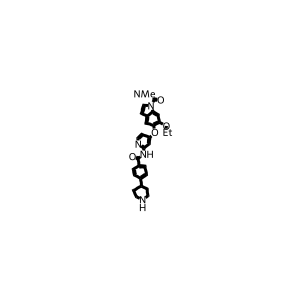 CCOc1cc2c(ccn2C(=O)NC)cc1Oc1ccnc(NC(=O)c2ccc(C3CCNCC3)cc2)c1